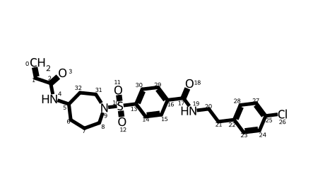 C=CC(=O)NC1CCCN(S(=O)(=O)c2ccc(C(=O)NCCc3ccc(Cl)cc3)cc2)CC1